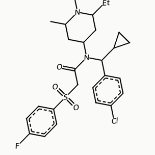 CCC1CC(N(C(=O)CS(=O)(=O)c2ccc(F)cc2)C(c2ccc(Cl)cc2)C2CC2)CC(C)N1C